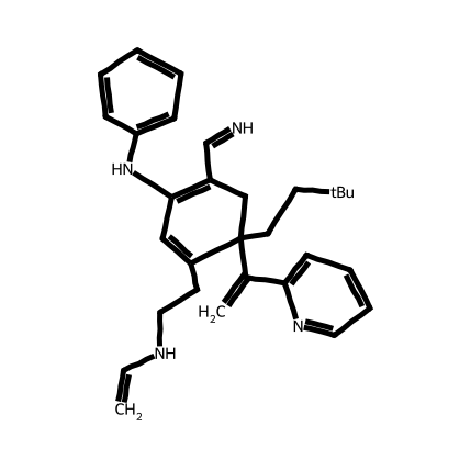 C=CNCCC1=CC(Nc2ccccc2)=C(C=N)CC1(CCC(C)(C)C)C(=C)c1ccccn1